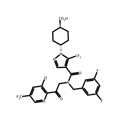 O=C(CN(Cc1cc(F)cc(F)c1)C(=O)c1cnn([C@H]2CC[C@H](C(=O)O)CC2)c1C(F)(F)F)c1ncc(C(F)(F)F)cc1Cl